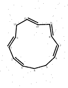 [C]1=C/C=C\CC\C=C/C=C/C=C/C/1